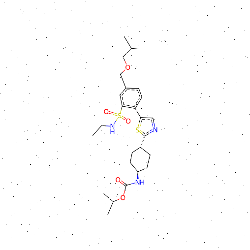 CCNS(=O)(=O)c1cc(COCC(C)C)ccc1-c1cnc([C@H]2CC[C@H](NC(=O)OC(C)C)CC2)s1